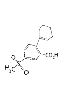 CS(=O)(=O)c1ccc(C2=CCCCC2)c(C(=O)O)c1